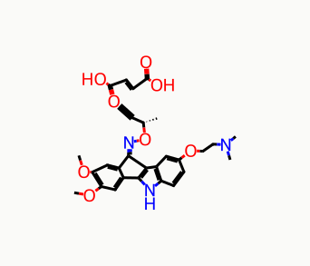 C#C[C@H](C)O/N=C1/c2cc(OC)c(OC)cc2-c2[nH]c3ccc(OCCN(C)C)cc3c21.O=C(O)/C=C/C(=O)O